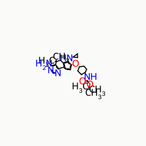 CC(C)(C)OC(=O)N[C@H]1CC[C@H](Oc2ccc3c(c2NC2CC2)CC(C)(C)c2c(N)ncnc2-3)CC1